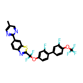 Cc1cnc(-c2ccc3nc(C(F)(F)Oc4ccc(-c5ccc(OC(F)(F)F)c(F)c5)c(F)c4)sc3c2)nc1